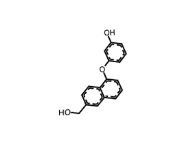 OCc1ccc2c(Oc3cccc(O)c3)cccc2c1